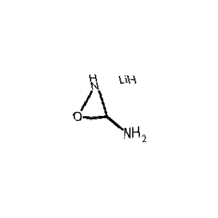 NC1NO1.[LiH]